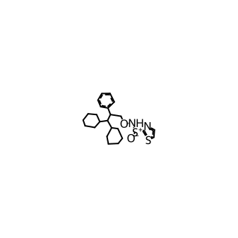 [O-][S+](NOCC(c1ccccc1)C(C1CCCCC1)C1CCCCC1)c1nccs1